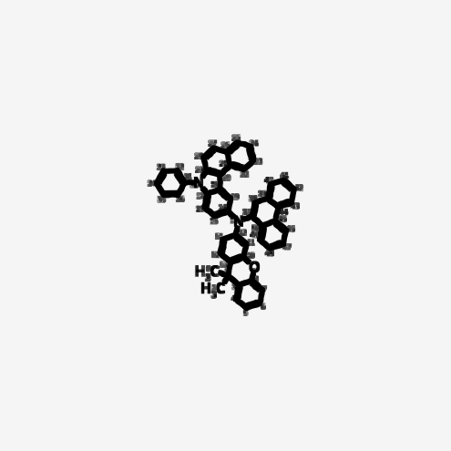 CC1(C)c2ccccc2Oc2cc(N(c3ccc4c(c3)c3c5ccccc5ccc3n4-c3ccccc3)c3cc4ccccc4c4ccccc34)ccc21